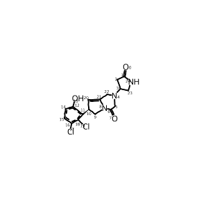 O=C1CC(N2CC(=O)N3C[C@@H](c4c(O)ccc(Cl)c4Cl)C=C3C2)CN1